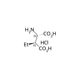 CC[C@H](C(=O)O)[C@H](N)C(=O)O.Cl